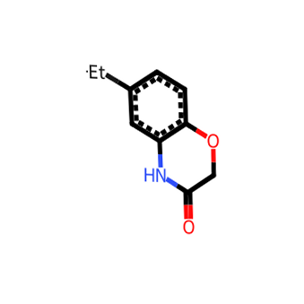 C[CH]c1ccc2c(c1)NC(=O)CO2